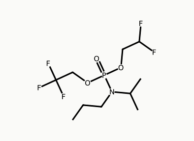 CCCN(C(C)C)P(=O)(OCC(F)F)OCC(F)(F)F